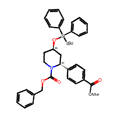 COC(=O)c1ccc([C@H]2C[C@H](O[Si](c3ccccc3)(c3ccccc3)C(C)(C)C)CCN2C(=O)OCc2ccccc2)cc1